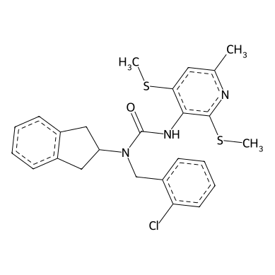 CSc1cc(C)nc(SC)c1NC(=O)N(Cc1ccccc1Cl)C1Cc2ccccc2C1